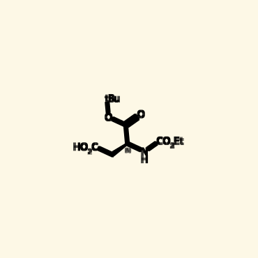 CCOC(=O)N[C@@H](CC(=O)O)C(=O)OC(C)(C)C